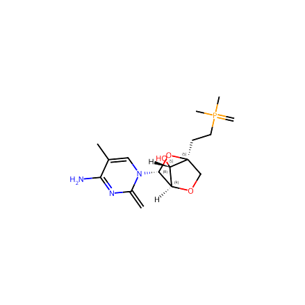 C=C1N=C(N)C(C)=CN1[C@@H]1O[C@@]2(CCP(=C)(C)C)CO[C@@H]1[C@@H]2O